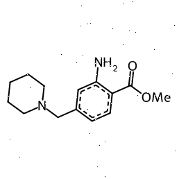 COC(=O)c1ccc(CN2CCCCC2)cc1N